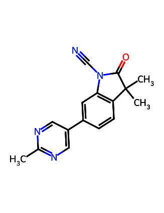 Cc1ncc(-c2ccc3c(c2)N(C#N)C(=O)C3(C)C)cn1